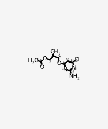 C=C(COC(C)=O)COc1cc(Cl)nc(N)n1